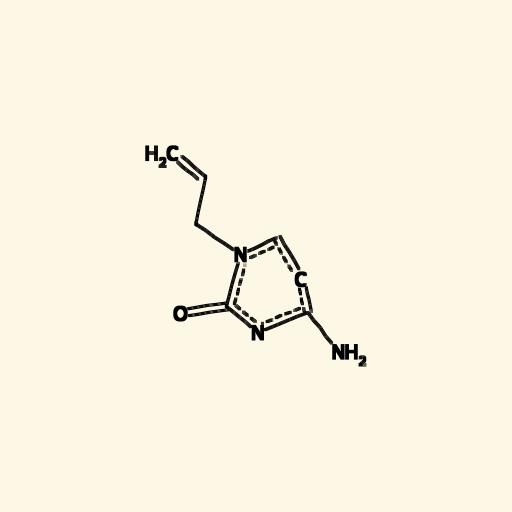 C=CCn1ccc(N)nc1=O